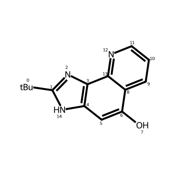 CC(C)(C)c1nc2c(cc(O)c3cccnc32)[nH]1